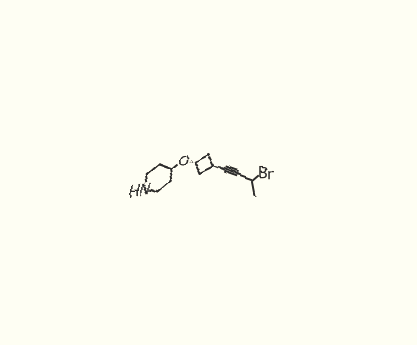 CC(Br)C#C[C@H]1C[C@H](OC2CCNCC2)C1